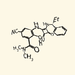 CC[C@@H](Nc1c(Nc2cc(C#N)cc(C(=O)N(C)C)c2O)c(=O)c1=O)c1ccccc1